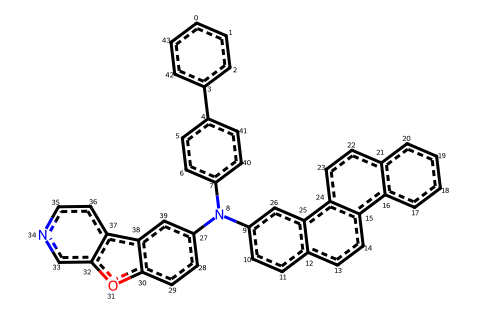 c1ccc(-c2ccc(N(c3ccc4ccc5c6ccccc6ccc5c4c3)c3ccc4oc5cnccc5c4c3)cc2)cc1